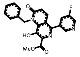 COC(=O)c1nc(-c2cncc(F)c2)c2ccc(=O)n(Cc3ccccc3)c2c1O